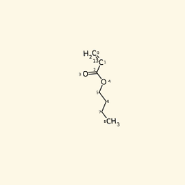 C=[13CH]C(=O)OCCCC